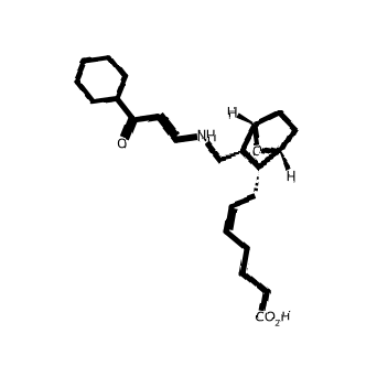 O=C(O)CCC/C=C\C[C@@H]1[C@@H](CNC=CC(=O)C2CCCCC2)[C@@H]2CC[C@H]1O2